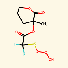 CC1(OC(=O)C(F)(F)SOOO)CCCOC1=O